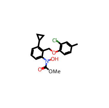 COC(=O)N(O)c1cccc(C2CC2)c1COc1ccc(C)cc1Cl